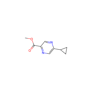 COC(=O)c1cnc(C2CC2)cn1